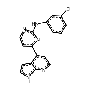 Clc1cccc(Nc2nccc(-c3ccnc4[nH]ccc34)n2)c1